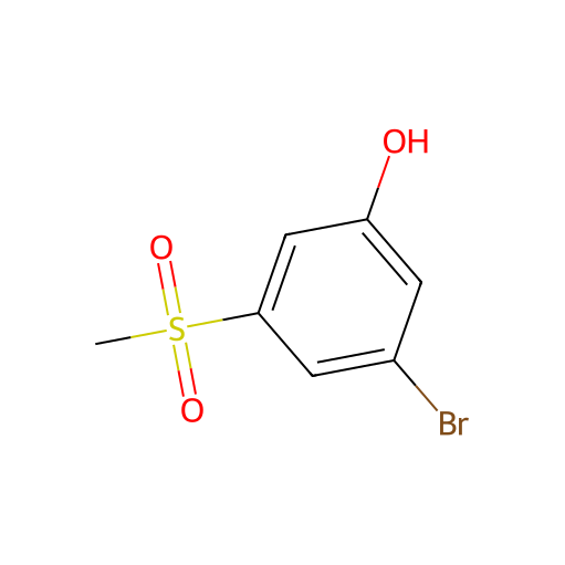 CS(=O)(=O)c1cc(O)cc(Br)c1